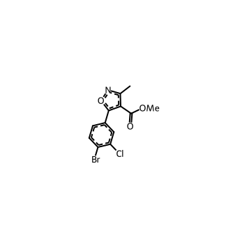 COC(=O)c1c(C)noc1-c1ccc(Br)c(Cl)c1